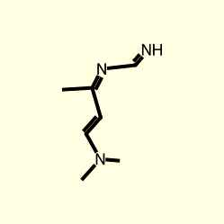 CC(/C=C/N(C)C)=N/C=N